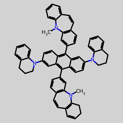 CN1C2=C(C=CCC2)C=Cc2ccc(-c3c4ccc(N5CCCc6ccccc65)cc4c(-c4ccc5c(c4)N(C)c4ccccc4C=C5)c4ccc(N5CCCc6ccccc65)cc34)cc21